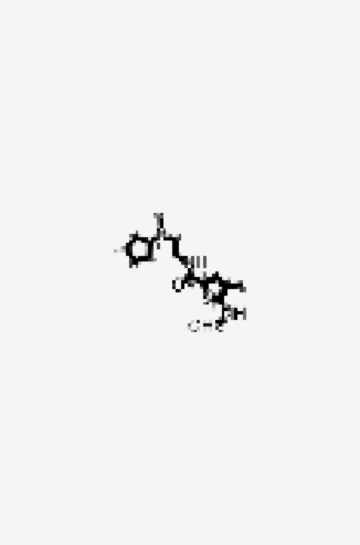 Cc1cc(C(=O)NCCN(C)C2CCCC2)sc1NC=O